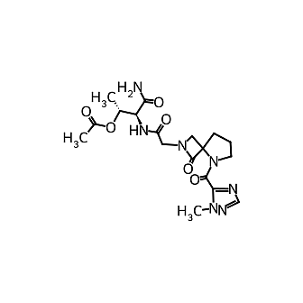 CC(=O)O[C@H](C)[C@H](NC(=O)CN1CC2(CCCN2C(=O)c2ncnn2C)C1=O)C(N)=O